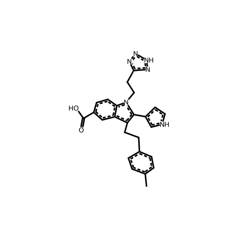 Cc1ccc(CCc2c(-c3cc[nH]c3)n(CCc3nn[nH]n3)c3ccc(C(=O)O)cc23)cc1